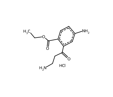 CCOC(=O)c1ccc(N)cc1C(=O)CCN.Cl